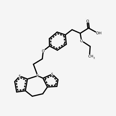 CCOC(Cc1ccc(OCCN2c3sccc3CCc3ccsc32)cc1)C(=O)O